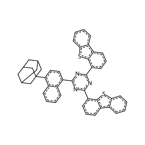 c1ccc2c(c1)sc1c(-c3nc(-c4ccc(C56CC7CC(CC(C7)C5)C6)c5ccccc45)nc(-c4cccc5c4sc4ccccc45)n3)cccc12